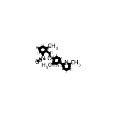 Cc1cccc(-c2ccc(OCc3c(C)cccc3N=C=O)c(C)c2)n1